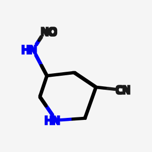 N#CC1CNCC(NN=O)C1